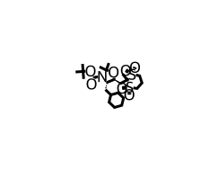 CC(C)(C)OC(=O)N1[C@@H](CC2CCCCC2)[C@H](CC2(C)S(=O)(=O)CCCS2(=O)=O)OC1(C)C